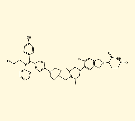 CC1CN(c2cc3c(cc2F)CN(C2CCC(=O)NC2=O)C3)CC(C)N1CC1CCN(c2ccc(C(=C(CCCl)c3ccccc3)c3ccc(O)cc3)cc2)CC1